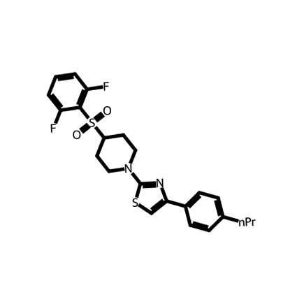 CCCc1ccc(-c2csc(N3CCC(S(=O)(=O)c4c(F)cccc4F)CC3)n2)cc1